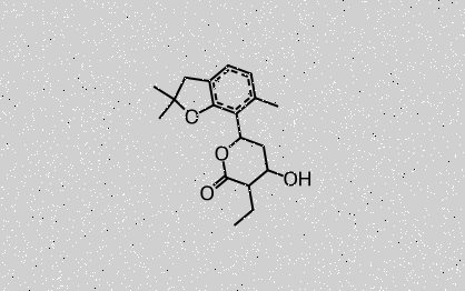 CCC1C(=O)OC(c2c(C)ccc3c2OC(C)(C)C3)CC1O